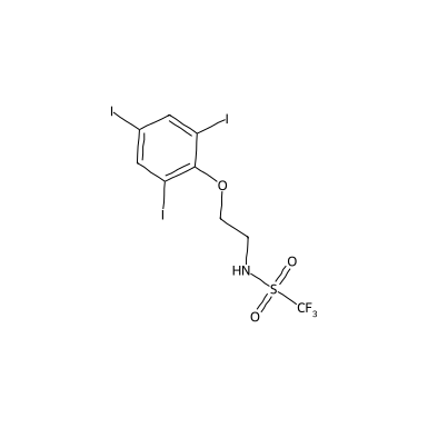 O=S(=O)(NCCOc1c(I)cc(I)cc1I)C(F)(F)F